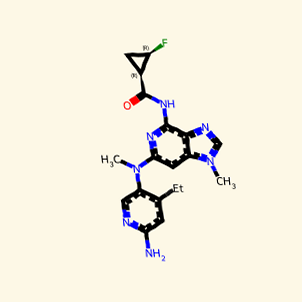 CCc1cc(N)ncc1N(C)c1cc2c(ncn2C)c(NC(=O)[C@H]2C[C@H]2F)n1